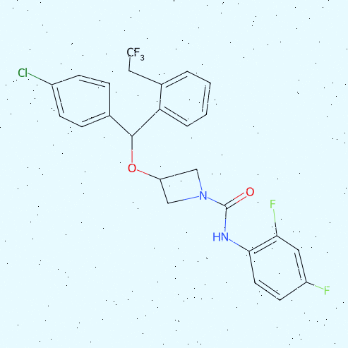 O=C(Nc1ccc(F)cc1F)N1CC(OC(c2ccc(Cl)cc2)c2ccccc2CC(F)(F)F)C1